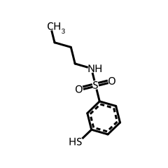 CCCCNS(=O)(=O)c1cccc(S)c1